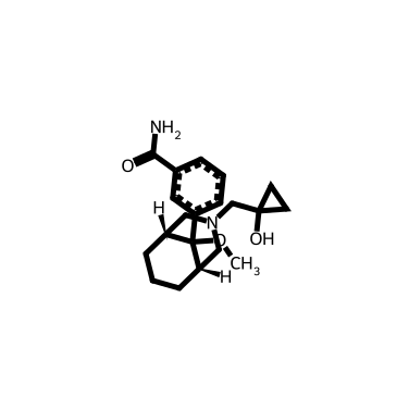 COC1(c2cccc(C(N)=O)c2)[C@@H]2CCC[C@H]1CN(CC1(O)CC1)C2